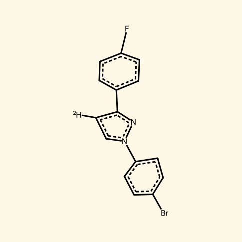 [2H]c1cn(-c2ccc(Br)cc2)nc1-c1ccc(F)cc1